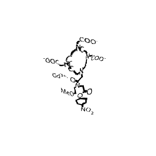 COCCN(CC(=O)Oc1ccc([N+](=O)[O-])cc1)C(=O)CN1CCN(CC(=O)[O-])CCN(CC(=O)[O-])CCN(CC(=O)[O-])CC1.[Gd+3]